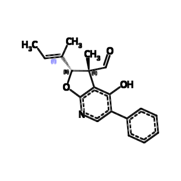 C/C=C(\C)[C@H]1Oc2ncc(-c3ccccc3)c(O)c2[C@@]1(C)C=O